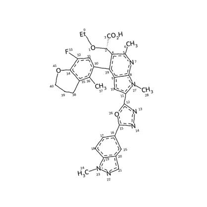 CCO[C@H](C(=O)O)c1c(C)nc2c(cc(-c3nnc(-c4ccc5c(cnn5C)c4)o3)n2C)c1-c1cc(F)c2c(c1C)CCCO2